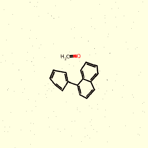 C=O.c1ccc(-c2cccc3ccccc23)cc1